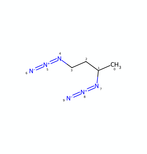 CC(CCN=[N+]=[N-])N=[N+]=[N-]